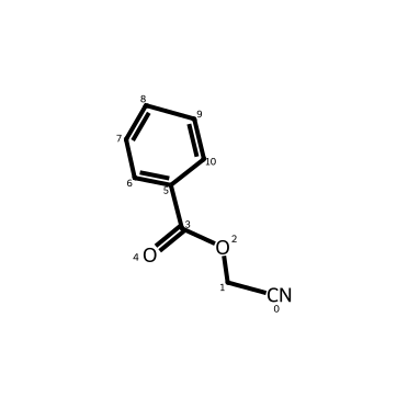 N#CCOC(=O)c1ccccc1